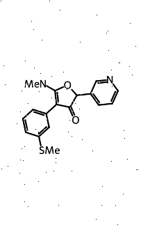 CNC1=C(c2cccc(SC)c2)C(=O)C(c2cccnc2)O1